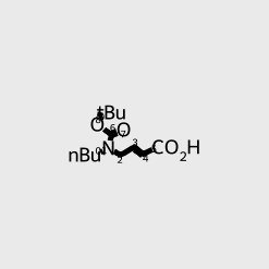 CCCCN(C/C=C/C(=O)O)C(=O)OC(C)(C)C